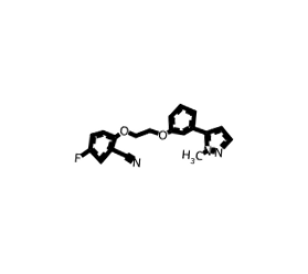 Cn1nccc1-c1cccc(OCCOc2ccc(F)cc2C#N)c1